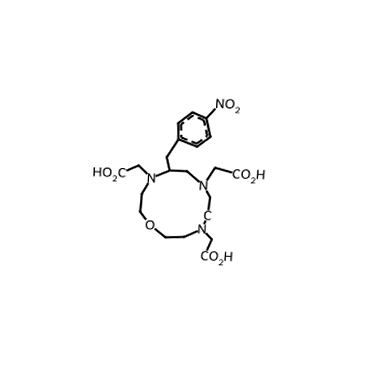 O=C(O)CN1CCOCCN(CC(=O)O)C(Cc2ccc([N+](=O)[O-])cc2)CN(CC(=O)O)CC1